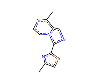 Cc1csc(-c2ncc3c(C)nccn23)n1